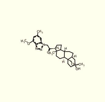 CC[C@]12CC[C@@](C)(O)C[C@@H]1CC[C@H]1[C@@H]3CC[C@H](C(=O)Cn4nnc5c(OC)cc(C)cc54)[C@@]3(C)CC[C@@H]12